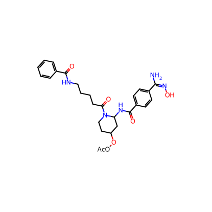 CC(=O)OOC1CCN(C(=O)CCCCNC(=O)c2ccccc2)C(NC(=O)c2ccc(/C(N)=N\O)cc2)C1